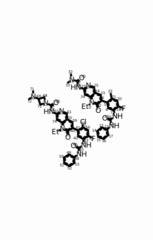 CCn1c(=O)c(-c2cc(NC(=O)Nc3ccccc3)c(F)cc2C)cc2cnc(NC(=O)N(C)C)cc21.CCn1c(=O)c(-c2cc(NC(=O)Nc3ccccc3)c(F)cc2Cl)cc2cnc(NC(=O)N3CC(N(C)C)C3)cc21